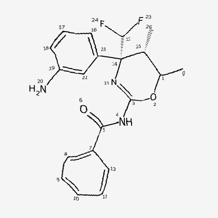 CC1OC(NC(=O)c2ccccc2)=N[C@](c2cccc(N)c2)(C(F)F)[C@@H]1C